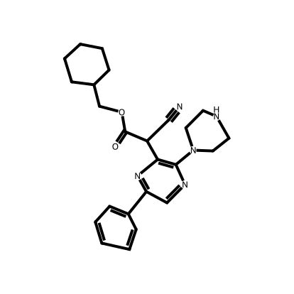 N#CC(C(=O)OCC1CCCCC1)c1nc(-c2ccccc2)cnc1N1CCNCC1